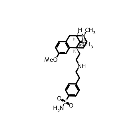 COc1ccc2c(c1)[C@@]1(CCNCCc3ccc(S(N)(=O)=O)cc3)CCN(C)[C@H](C2)[C@@H]1C